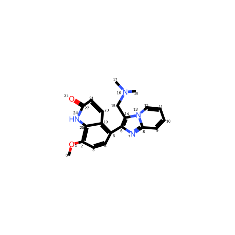 COc1ccc(-c2nc3ccccn3c2CN(C)C)c2ccc(=O)[nH]c12